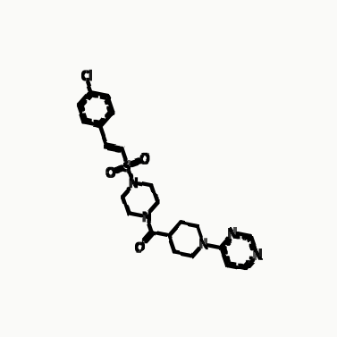 O=C(C1CCN(c2ccncn2)CC1)N1CCN(S(=O)(=O)/C=C/c2ccc(Cl)cc2)CC1